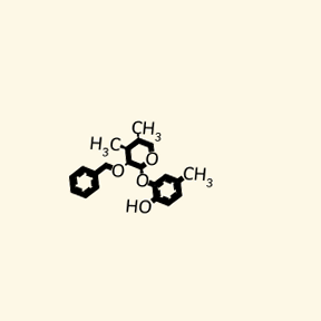 Cc1ccc(O)c(O[C@@H]2OC[C@@H](C)[C@H](C)[C@H]2OCc2ccccc2)c1